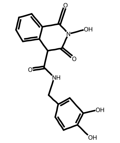 O=C(NCc1ccc(O)c(O)c1)C1C(=O)N(O)C(=O)c2ccccc21